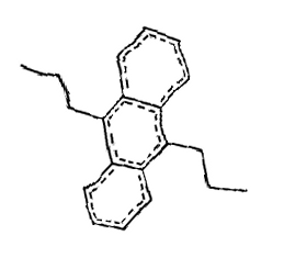 CCCc1c2ccccc2c(CCC)c2ccccc12